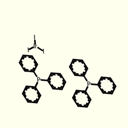 [I][Ir]([I])[I].c1ccc(P(c2ccccc2)c2ccccc2)cc1.c1ccc(P(c2ccccc2)c2ccccc2)cc1